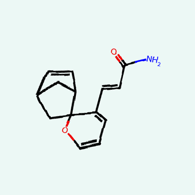 NC(=O)C=CC1=CC=COC12CC1C=CC2C1